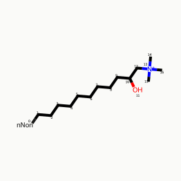 CCCCCCCCCCCCCCCCCCC(O)C[N+](C)(C)C